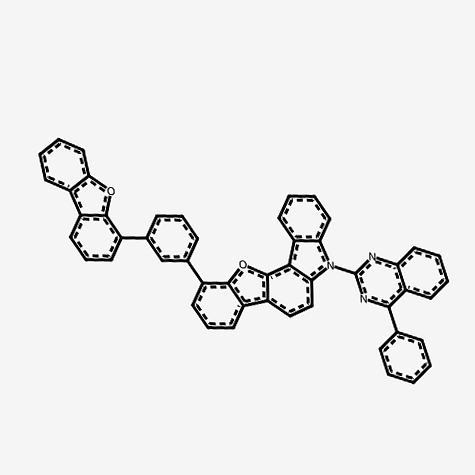 c1ccc(-c2nc(-n3c4ccccc4c4c5oc6c(-c7cccc(-c8cccc9c8oc8ccccc89)c7)cccc6c5ccc43)nc3ccccc23)cc1